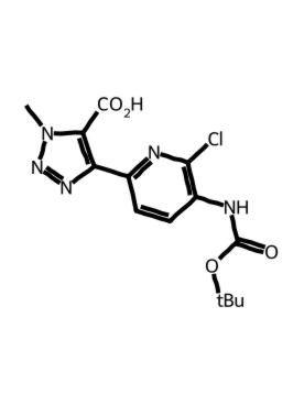 Cn1nnc(-c2ccc(NC(=O)OC(C)(C)C)c(Cl)n2)c1C(=O)O